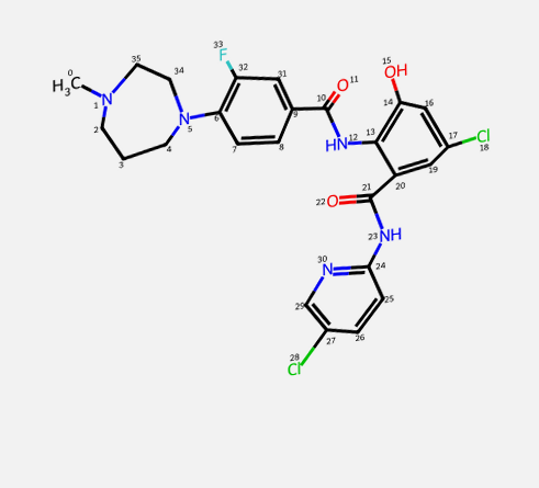 CN1CCCN(c2ccc(C(=O)Nc3c(O)cc(Cl)cc3C(=O)Nc3ccc(Cl)cn3)cc2F)CC1